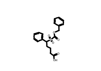 O=C(O)CCCC(c1ccccc1)S(=O)(=O)C(=O)OCc1ccccc1